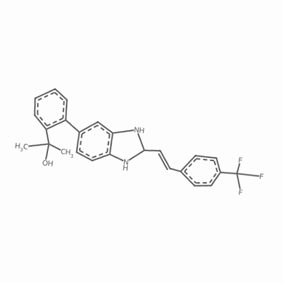 CC(C)(O)c1ccccc1-c1ccc2c(c1)NC(/C=C/c1ccc(C(F)(F)F)cc1)N2